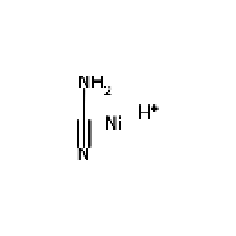 N#CN.[H+].[Ni]